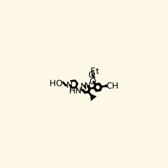 C#Cc1ccc(-c2nnc(N[C@@H]3CCCN(CCO)C3)cc2C2CC2)c(OCOCC)c1